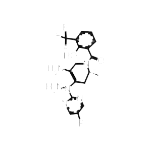 C[C@H]1CC(N(N)c2ncc(F)cn2)=C(N)CN1C(=O)c1cccc(C(F)(F)F)c1O